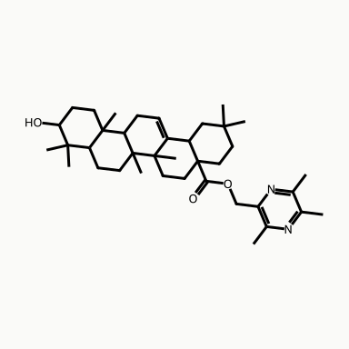 Cc1nc(C)c(COC(=O)C23CCC(C)(C)CC2C2=CCC4C5(C)CCC(O)C(C)(C)C5CCC4(C)C2(C)CC3)nc1C